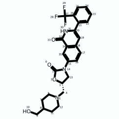 O=C1O[C@@H](CN2CCC(CO)CC2)CN1c1ccc2cc(-c3ccccc3C(F)(F)F)[nH]c(=O)c2c1